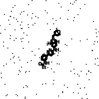 CCC(=O)Nc1cccc(-c2ccc(NC3C[C@@H]4CN(CC5CCOCC5)C[C@@H]4C3)nn2)c1